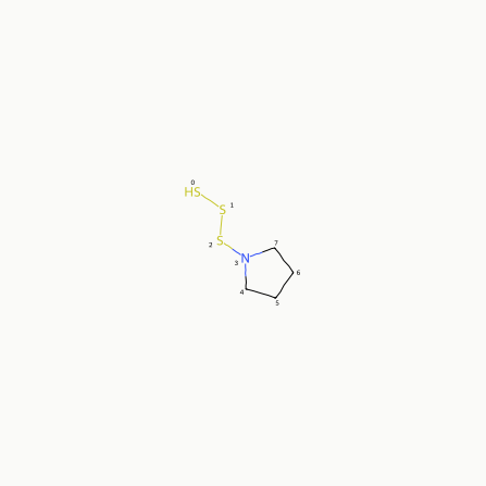 SSSN1CCCC1